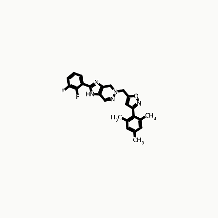 Cc1cc(C)c(-c2cc(CN3Cc4nc(-c5cccc(F)c5F)[nH]c4C=N3)on2)c(C)c1